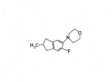 CC1Cc2cc(F)c(N3CCOCC3)cc2C1